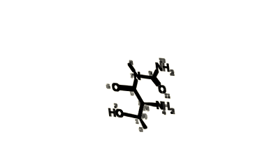 C[C@@H](O)[C@H](N)C(=O)N(C)C(N)=O